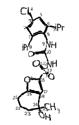 CC(C)c1cc(Cl)cc(C(C)C)c1NC(=O)NS(=O)(=O)c1cc2c(o1)CCCC2(C)O